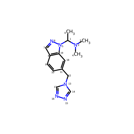 CC(N(C)C)n1ncc2ccc(Cn3cnnc3)cc21